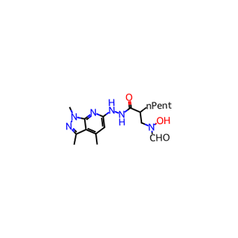 CCCCCC(CN(O)C=O)C(=O)NNc1cc(C)c2c(C)nn(C)c2n1